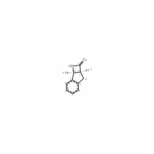 O=C1N[C@@H]2c3ccccc3C[C@H]12